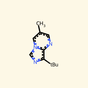 Cc1cnc2c(C(C)(C)C)ncn2c1